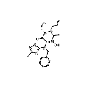 C=CC[C@H](C(=C)NO)[C@@H](CC(C)C)C(=O)N[C@@H](Cc1ccccc1)c1nc(C)no1